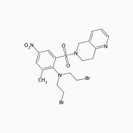 Cc1cc([N+](=O)[O-])cc(S(=O)(=O)N2CCc3ncccc3C2)c1N(CCBr)CCBr